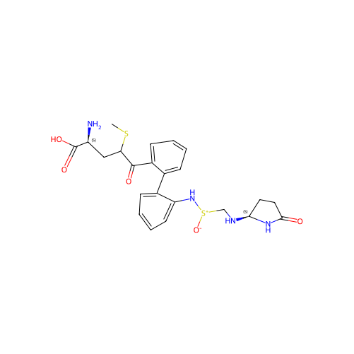 CSC(C[C@H](N)C(=O)O)C(=O)c1ccccc1-c1ccccc1N[S+]([O-])CN[C@H]1CCC(=O)N1